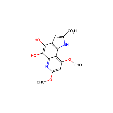 O=COc1cc(OC=O)c2c(n1)c(O)c(O)c1cc(C(=O)O)[nH]c12